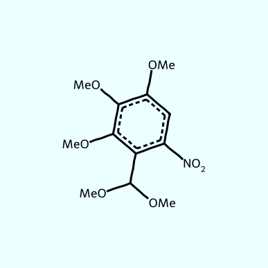 COc1cc([N+](=O)[O-])c(C(OC)OC)c(OC)c1OC